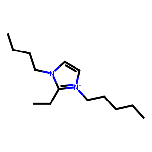 CCCCC[n+]1ccn(CCCC)c1CC